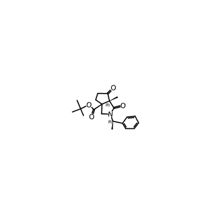 C[C@H](c1ccccc1)N1CC2(C(=O)OC(C)(C)C)CCC(=O)[C@]2(C)C1=O